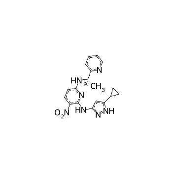 C[C@H](Nc1ccc([N+](=O)[O-])c(Nc2cc(C3CC3)[nH]n2)n1)c1ccccn1